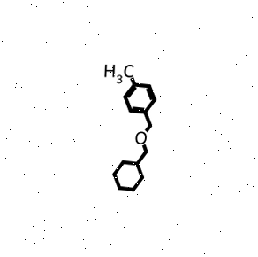 Cc1ccc(COCC2CCCCC2)cc1